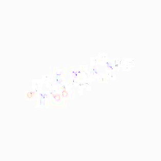 O=C1CCC(NC(=O)c2ccc(N3CCN(C(=O)O)CC3)cn2)C(=O)N1